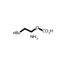 CCCCCCOC(=O)O.N